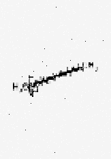 CCCCCCCCC=CCCCCCCCC(=O)N[C@@H](C)C#N